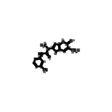 CN(C(=O)Nc1cccc(C#N)c1)c1cc2oc(=O)c(C(=O)O)cc2s1